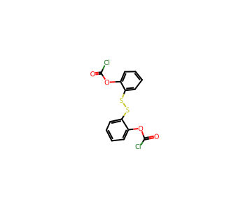 O=C(Cl)Oc1ccccc1SSc1ccccc1OC(=O)Cl